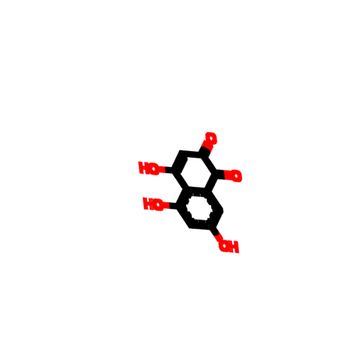 O=C1C=C(O)c2c(O)cc(O)cc2C1=O